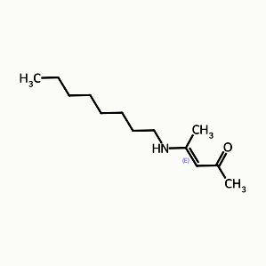 CCCCCCCCN/C(C)=C/C(C)=O